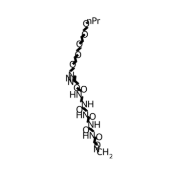 C=NOCC(=O)NCC(=O)NCC(=O)NCC(=O)NCCNC(=O)OCc1cn(CCOCCOCCOCCOCCOCCC)nn1